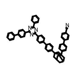 N#Cc1ccc(-c2ccc(C34CC5CC(C3)CC(c3ccc(-c6ccc(-c7nc(-c8ccccc8)nc(-c8ccc(-c9ccccc9)cc8)n7)cc6)cc3)(C5)C4)cc2)cc1